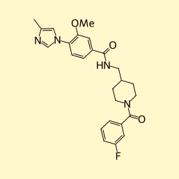 COc1cc(C(=O)NCC2CCN(C(=O)c3cccc(F)c3)CC2)ccc1-n1cnc(C)c1